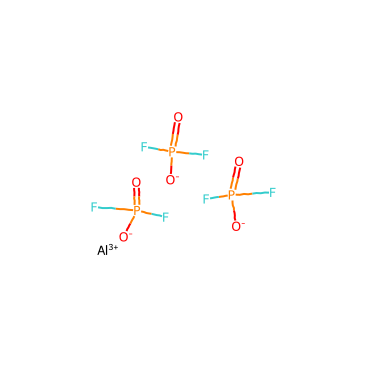 O=P([O-])(F)F.O=P([O-])(F)F.O=P([O-])(F)F.[Al+3]